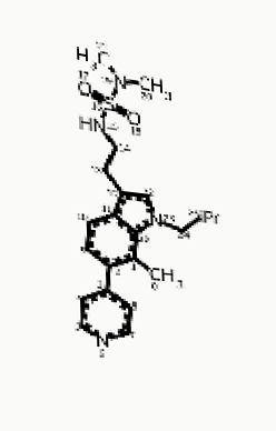 Cc1c(-c2ccncc2)ccc2c(CCNS(=O)(=O)N(C)C)cn(CC(C)C)c12